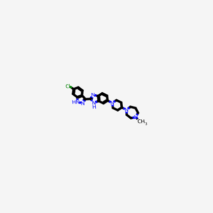 CN1CCCN(C2CCN(c3ccc4nc(-c5n[nH]c6cc(Cl)ccc56)[nH]c4c3)CC2)CC1